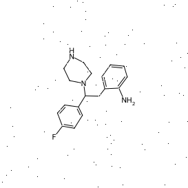 Nc1ccccc1CC(c1ccc(F)cc1)N1CCNCC1